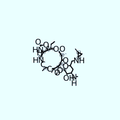 CC[C@H]1OC(=O)[C@H](C)C(=O)[C@H](C)[C@@H](O[C@@H]2OC(CN[C@H]3C[C@@H]3C)CC(NC)C2O)[C@](C)(OC)C[C@@H](C)CN[C@H](C)[C@H]2NC(=O)O[C@@]21C